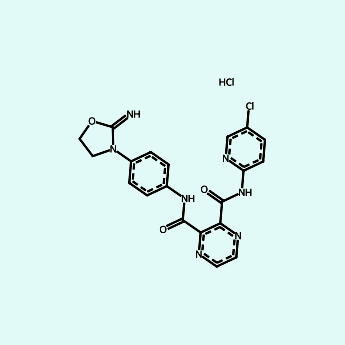 Cl.N=C1OCCN1c1ccc(NC(=O)c2nccnc2C(=O)Nc2ccc(Cl)cn2)cc1